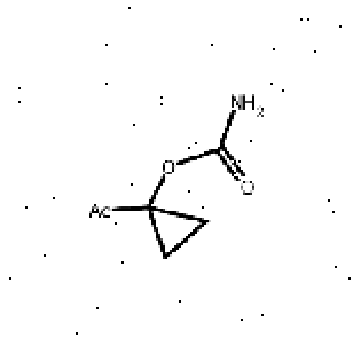 CC(=O)C1(OC(N)=O)CC1